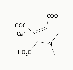 CN(C)CC(=O)O.O=C([O-])/C=C\C(=O)[O-].[Ca+2]